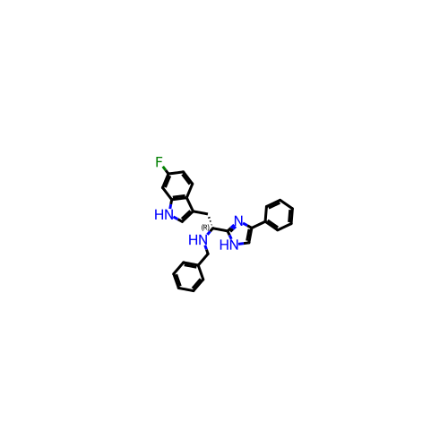 Fc1ccc2c(C[C@@H](NCc3ccccc3)c3nc(-c4ccccc4)c[nH]3)c[nH]c2c1